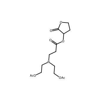 CC(=O)OCCN(CCOC(C)=O)CCC(=O)OC1CCOC1=O